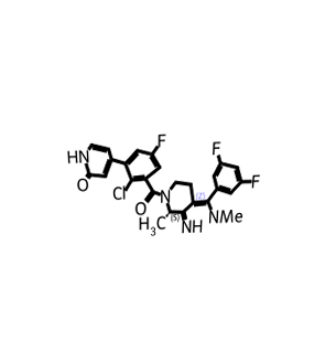 CN/C(=C1/CCN(C(=O)c2cc(F)cc(-c3cc[nH]c(=O)c3)c2Cl)[C@@H](C)C1=N)c1cc(F)cc(F)c1